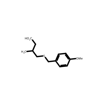 COc1ccc(CSCC(C)CC(=O)O)cc1